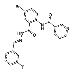 O=C(Nc1ccc(Br)cc1C(=O)NN=Cc1cccc(F)c1)c1cccnc1